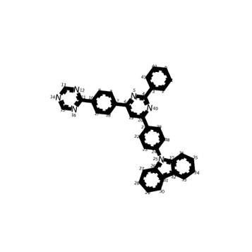 c1ccc(-c2nc(-c3ccc(-c4ncncn4)cc3)cc(-c3ccc(-n4c5ccccc5c5ccccc54)cc3)n2)cc1